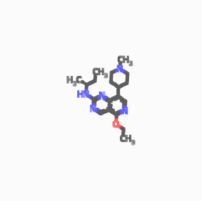 CCOc1ncc(C2CCN(C)CC2)c2nc(N[C@@H](C)CC)ncc12